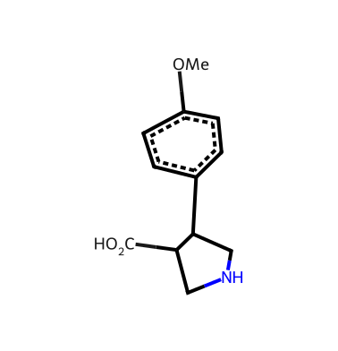 COc1ccc(C2CNCC2C(=O)O)cc1